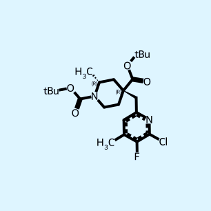 Cc1cc(C[C@@]2(C(=O)OC(C)(C)C)CCN(C(=O)OC(C)(C)C)[C@H](C)C2)nc(Cl)c1F